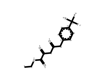 CCOC(=O)C(=O)CC(=O)Cc1ccc(C(F)(F)F)cc1